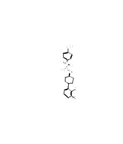 Cc1ccc(S(=O)(=O)NN=C2CCC(c3cccc(F)c3F)CC2)cc1